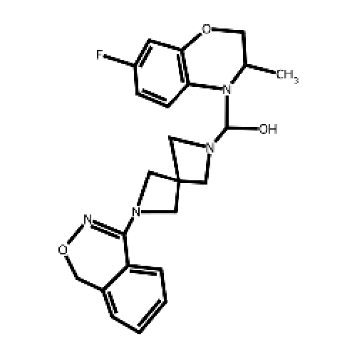 CC1COc2cc(F)ccc2N1C(O)N1CC2(CN(C3=NOCc4ccccc43)C2)C1